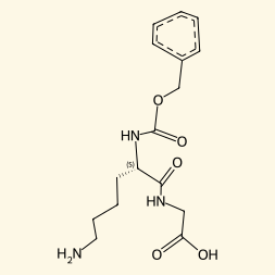 NCCCC[C@H](NC(=O)OCc1ccccc1)C(=O)NCC(=O)O